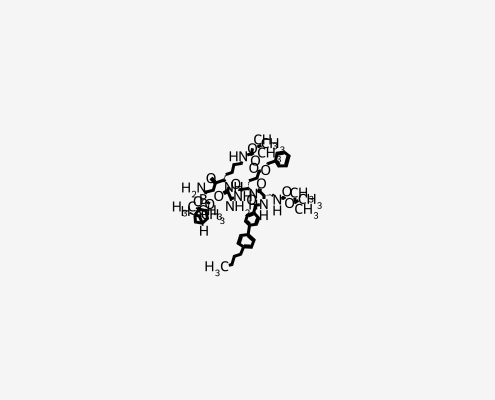 CCCCc1ccc(-c2ccc(C(=O)N[C@@H](CNC(=O)OC(C)(C)C)C(=O)N[C@@H](CCC(=O)OCc3ccccc3)C(=O)N[C@@H](N)C(=O)N[C@@H](CCCCNC(=O)OC(C)(C)C)C(=O)C[C@@H](N)B3OC4C[C@@H]5C[C@@H](C5(C)C)[C@]4(C)O3)cc2)cc1